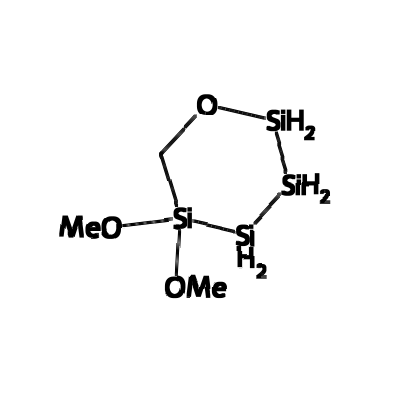 CO[Si]1(OC)CO[SiH2][SiH2][SiH2]1